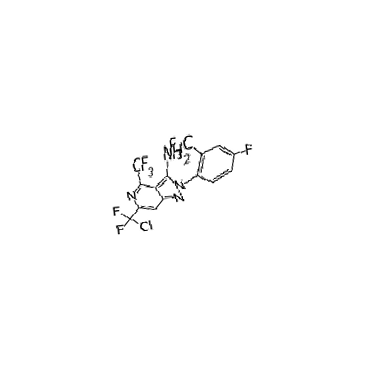 Nc1c2c(C(F)(F)F)nc(C(F)(F)Cl)cc2nn1-c1ccc(F)cc1C(F)(F)F